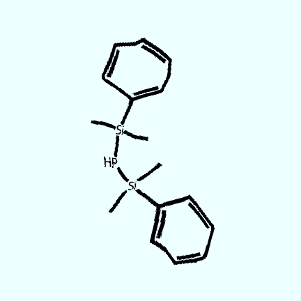 C[Si](C)(P[Si](C)(C)c1ccccc1)c1ccccc1